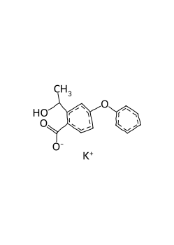 CC(O)c1cc(Oc2ccccc2)ccc1C(=O)[O-].[K+]